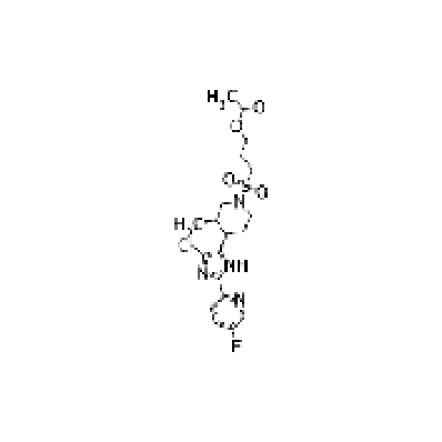 CC(=O)OCCCS(=O)(=O)N1CC[C@@H](c2[nH]c(-c3ccc(F)cn3)nc2Cl)[C@@H](C)C1